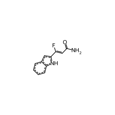 NC(=O)C=C(F)c1cc2ccccc2[nH]1